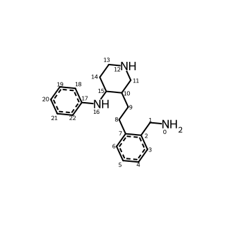 NCc1ccccc1CCC1CNCCC1Nc1ccccc1